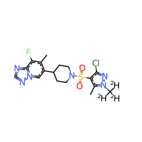 [2H]C([2H])([2H])n1nc(Cl)c(S(=O)(=O)N2CCC(c3cn4ncnc4c(F)c3C)CC2)c1C